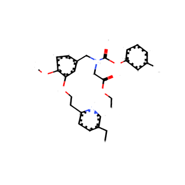 CCOC(=O)CN(Cc1ccc(OC)c(OCCc2ccc(CC)cn2)c1)C(=O)Oc1cccc(C)c1